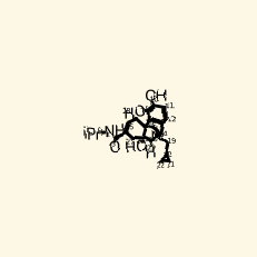 CC(C)NC(=O)C1=C[C@@H]2Oc3c(O)ccc4c3[C@@]23CCN(CC2CC2)[C@H](C4)[C@]3(O)C1